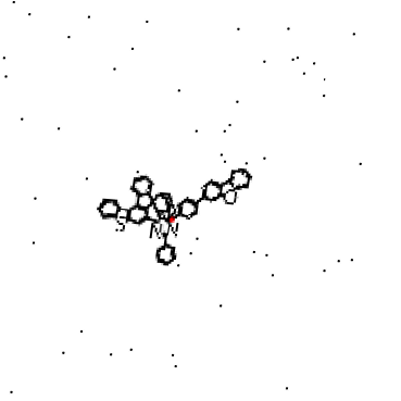 c1ccc(-c2nc(-c3ccc(-c4ccc5c(c4)oc4ccccc45)cc3)nc(-c3cc4sc5ccccc5c4c4c3C3(c5ccccc5-4)C4CC5CC(C4)CC3C5)n2)cc1